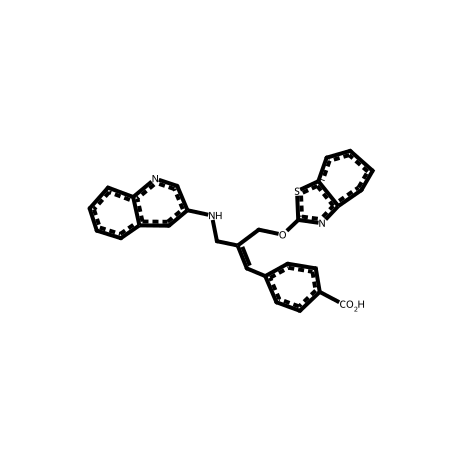 O=C(O)c1ccc(C=C(CNc2cnc3ccccc3c2)COc2nc3ccccc3s2)cc1